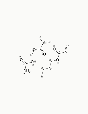 C=C(C)C(=O)OC.C=CC(=O)OCCCC.NC(=O)O